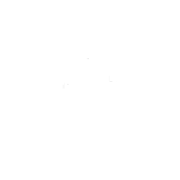 [C]#CC(CC)(C(C)C)C(C)C